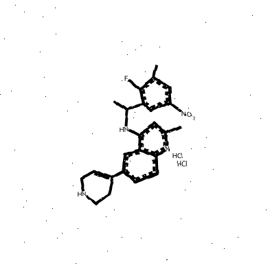 Cc1cc(NC(C)c2cc([N+](=O)[O-])cc(C)c2F)c2cc(C3=CCNCC3)ccc2n1.Cl.Cl